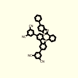 N#Cc1cc(C#N)cc(-c2ccc3c(c2)c2cc(-c4cc(C#N)cc(C#N)c4)ccc2n3-c2ccccc2-c2nc3cc(-c4ccccc4)ccc3o2)c1